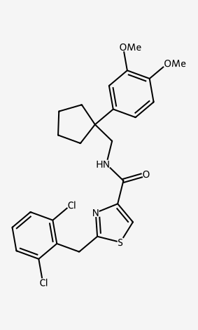 COc1ccc(C2(CNC(=O)c3csc(Cc4c(Cl)cccc4Cl)n3)CCCC2)cc1OC